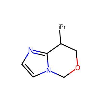 CC(C)C1COCn2ccnc21